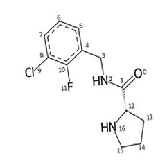 O=C(NCc1cccc(Cl)c1F)[C@@H]1CCCN1